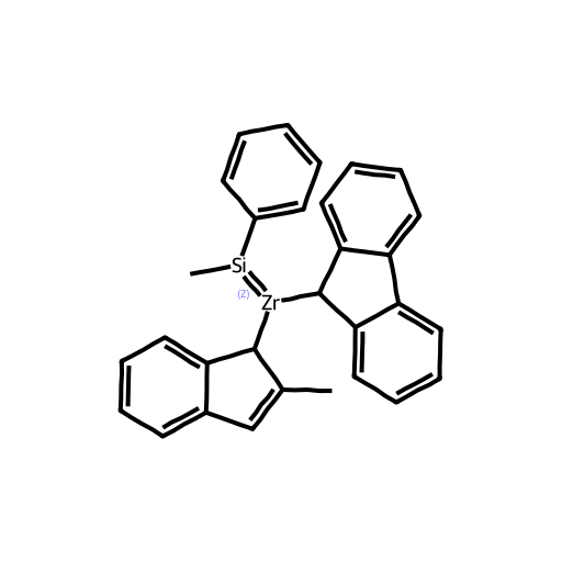 CC1=Cc2ccccc2[CH]1/[Zr]([CH]1c2ccccc2-c2ccccc21)=[Si](\C)c1ccccc1